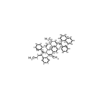 C=C/C=C(\c1ccccc1)N(c1ccccn1)C1C=C(C)c2ccc3c4c2C1C=CC4C(C)C=C3N(c1ccccn1)c1cccc2ccccc12